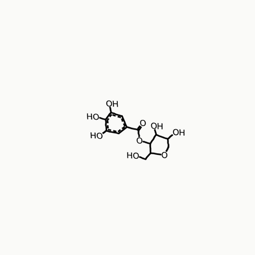 O=C(OC1C(CO)OCC(O)C1O)c1cc(O)c(O)c(O)c1